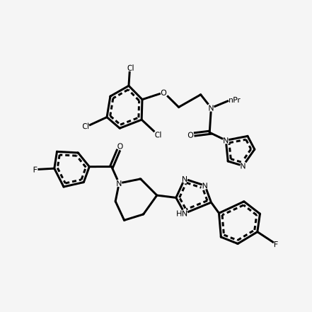 CCCN(CCOc1c(Cl)cc(Cl)cc1Cl)C(=O)n1ccnc1.O=C(c1ccc(F)cc1)N1CCCC(c2nnc(-c3ccc(F)cc3)[nH]2)C1